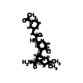 CC(=O)N1CCCC(CC(=O)Nc2cc(-c3cc(C(N)=O)c4n3CC(C)(C)C4)c(Cl)cn2)C1